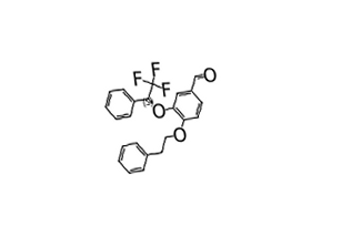 O=Cc1ccc(OCCc2ccccc2)c(O[C@@H](c2ccccc2)C(F)(F)F)c1